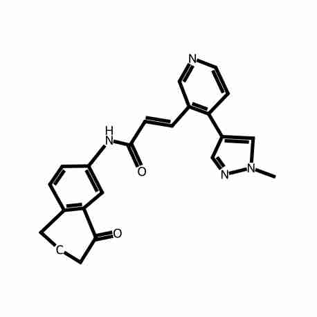 Cn1cc(-c2ccncc2C=CC(=O)Nc2ccc3c(c2)C(=O)CCC3)cn1